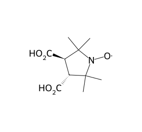 CC1(C)[C@H](C(=O)O)[C@@H](C(=O)O)C(C)(C)N1[O]